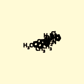 CC1CCC2(C)C3CCC4(C)C(C(=O)CN(N)c5c(N)cccc5Cl)CCC4C3(C)CCC2(C)C1